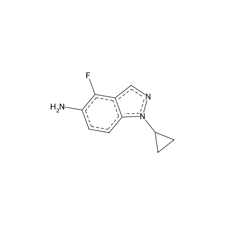 Nc1ccc2c(cnn2C2CC2)c1F